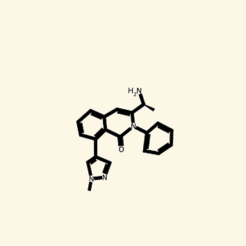 C[C@H](N)c1cc2cccc(-c3cnn(C)c3)c2c(=O)n1-c1ccccc1